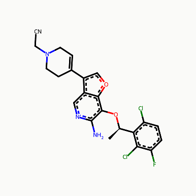 C[C@@H](Oc1c(N)ncc2c(C3=CCN(CC#N)CC3)coc12)c1c(Cl)ccc(F)c1Cl